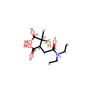 CCN(CC)C(=O)CC(C(=O)O)C(C)(S)C(=O)O